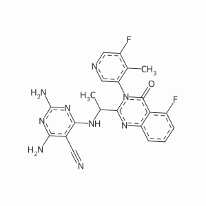 Cc1c(F)cncc1-n1c(C(C)Nc2nc(N)nc(N)c2C#N)nc2cccc(F)c2c1=O